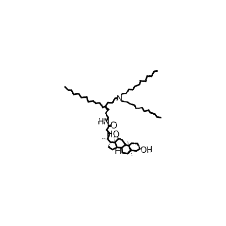 CCCCCCCCCCCC/C(=C\CCNC(=O)CC[C@@H](C)[C@H]1CCC2[C@@H]3CC[C@]4(C)C[C@H](O)CC[C@]4(C)C3C[C@H](O)[C@@]21C)CCCN(CCCCCCCCCCCC)CCCCCCCCCCCC